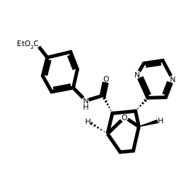 CCOC(=O)c1ccc(NC(=O)[C@@H]2[C@H](c3cnccn3)[C@@H]3CC[C@@H]2O3)cc1